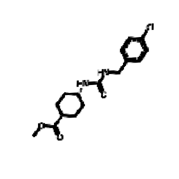 COC(=O)[C@H]1CC[C@H](NC(=O)NCc2ccc(Cl)cc2)CC1